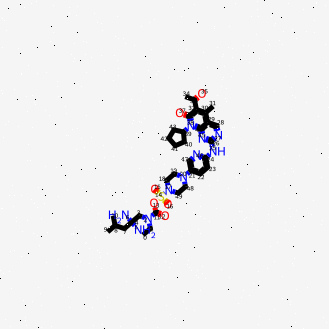 CCN(CC(N)(N)CC(C)C)C(=O)OS(=O)(=O)N1CCN(c2ccc(Nc3ncc4c(C)c(C(C)=O)c(=O)n(C5CCCC5)c4n3)nc2)CC1